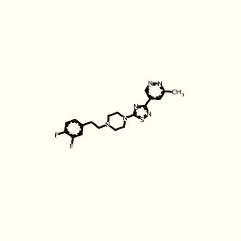 Cc1cc(-c2nsc(N3CCN(CCc4ccc(F)c(F)c4)CC3)n2)cnn1